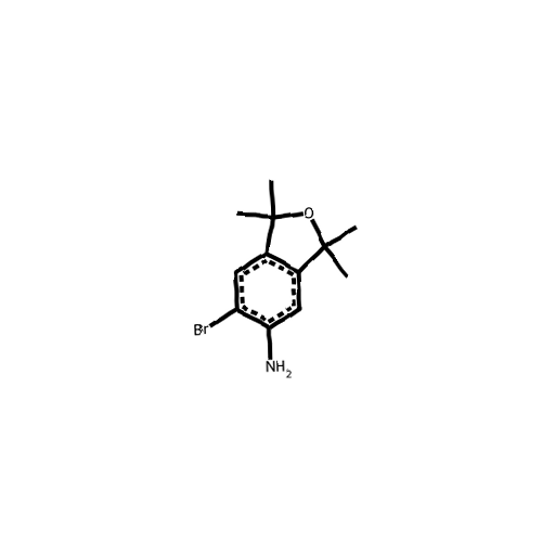 CC1(C)OC(C)(C)c2cc(Br)c(N)cc21